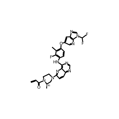 C=CC(=O)N1CCN(c2ccc3ncnc(Nc4ccc(Oc5cnc6c(c5)ncn6C(F)F)c(C)c4F)c3n2)C[C@H]1C